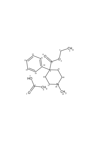 CC(=O)O.CCOC(=O)C1(c2ccccc2)CCN(C)CC1